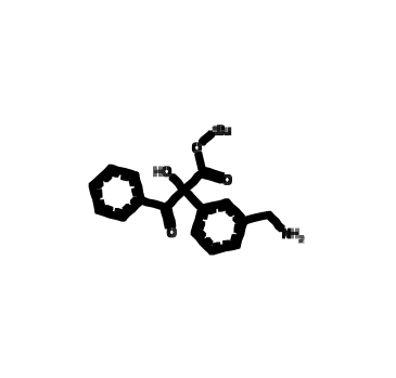 CC(C)(C)OC(=O)C(O)(C(=O)c1ccccc1)c1cccc(CN)c1